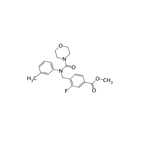 COC(=O)c1ccc(CN(C(=O)N2CCOCC2)c2cccc(C)c2)c(F)c1